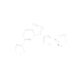 O=C(N[C@H]1CN2CCC1CC2)c1n[nH]c2ccc(-c3ccoc3)cc12